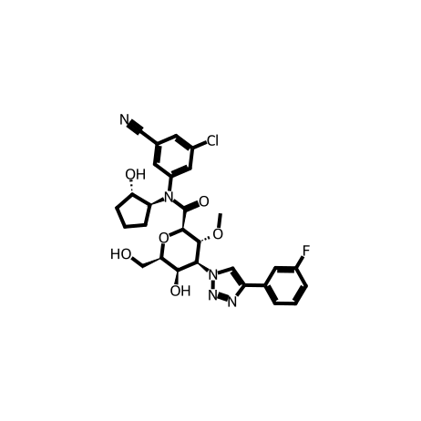 CO[C@@H]1[C@@H](n2cc(-c3cccc(F)c3)nn2)[C@@H](O)[C@@H](CO)O[C@H]1C(=O)N(c1cc(Cl)cc(C#N)c1)[C@H]1CCC[C@@H]1O